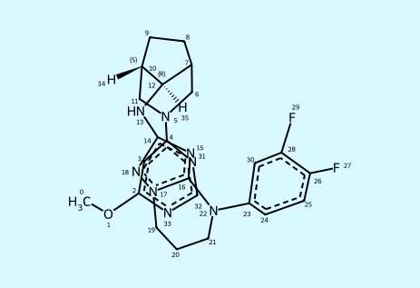 COc1cc(N2CC3CC[C@@H](C2)[C@@H]3Nc2nc3n(n2)CCCN3c2ccc(F)c(F)c2)ncn1